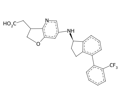 O=C(O)CC1COc2cc(N[C@@H]3CCc4c(-c5ccccc5C(F)(F)F)cccc43)cnc21